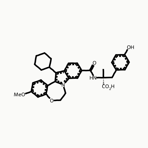 COc1ccc2c(c1)OCCn1c-2c(C2CCCCC2)c2ccc(C(=O)N[C@@](C)(Cc3ccc(O)cc3)C(=O)O)cc21